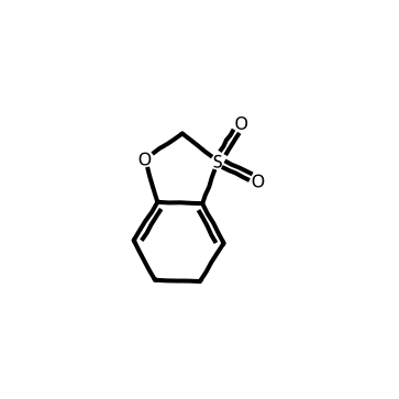 O=S1(=O)COC2=CCCC=C21